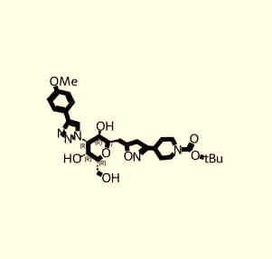 COc1ccc(-c2cn([C@H]3[C@@H](O)[C@@H](CO)O[C@H](CC4CC(C5CCN(C(=O)OC(C)(C)C)CC5)=NO4)[C@@H]3O)nn2)cc1